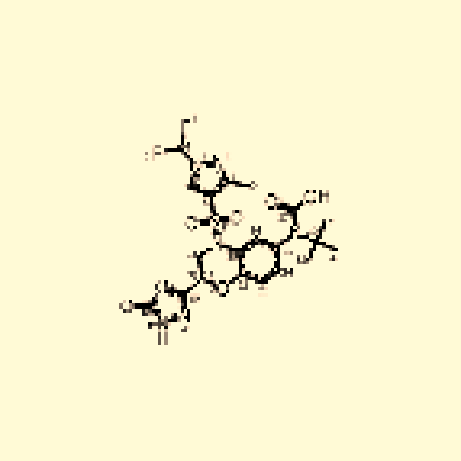 Cc1nn(C(F)F)cc1S(=O)(=O)N1C[C@H](c2n[nH]c(=O)o2)Oc2ccc(N(C(=O)O)C(C)(C)C)cc21